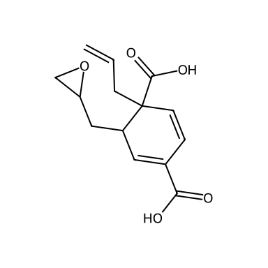 C=CCC1(C(=O)O)C=CC(C(=O)O)=CC1CC1CO1